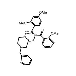 COc1ccc(CN(C[C@@H]2CN(Cc3ccccc3)CCN2C(=O)O)C(=O)c2ccccc2OC)c(OC)c1